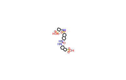 O=C(Nc1ccc2ccc(S(=O)(=O)O)cc2c1)Nc1ccc2ccc(S(=O)(=O)Nc3cccc(S(=O)(=O)O)c3)cc2c1